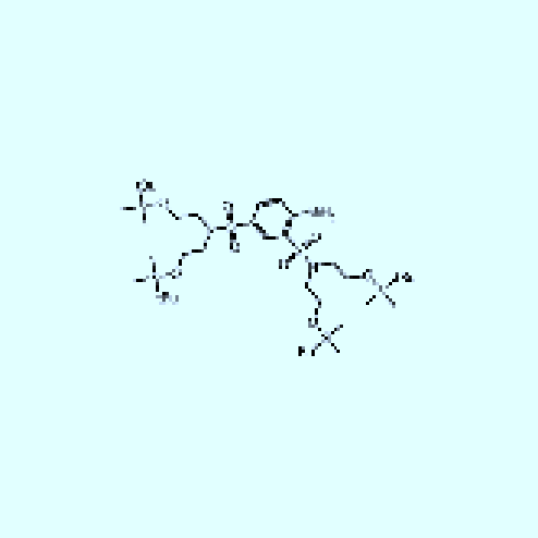 CC(C)(C)[Si](C)(C)OCCN(CCO[Si](C)(C)C(C)(C)C)S(=O)(=O)c1cc[c]([BiH2])c(S(=O)(=O)N(CCO[Si](C)(C)C(C)(C)C)CCO[Si](C)(C)C(C)(C)C)c1